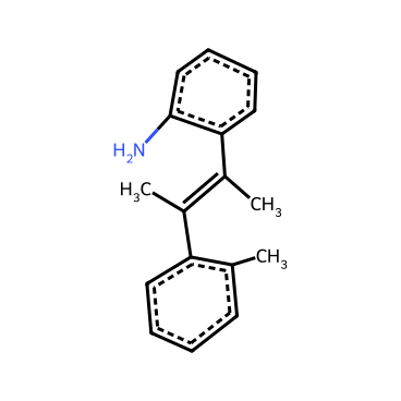 C/C(=C(/C)c1ccccc1N)c1ccccc1C